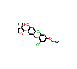 CC(=O)COc1cc(Cl)c(Cc2ccc(O)c(-c3occc3C)c2)c(Cl)c1